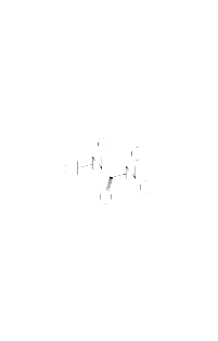 O=C(N(Cl)Cl)N(Cl)Cl